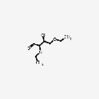 CCOCC(O)C(C=O)OCC